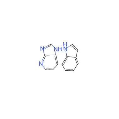 c1ccc2[nH]ccc2c1.c1cnc2nc[nH]c2c1